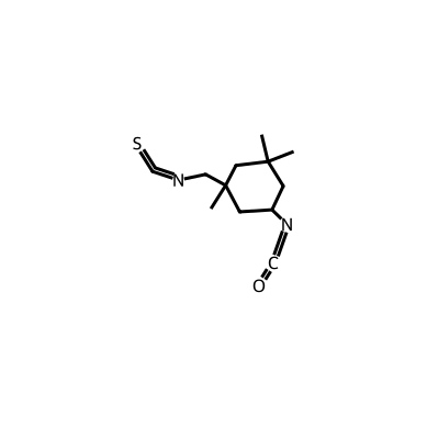 CC1(C)CC(N=C=O)CC(C)(CN=C=S)C1